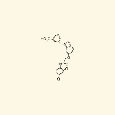 O=C(COc1ccc2ccn(Cc3cccc(C(=O)O)c3)c2c1)Nc1ccc(Cl)cc1Cl